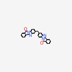 O=C1c2ccccc2-c2nc3cc(Cc4ccc5c(c4)nc4n5C(=O)c5ccccc5-4)ccc3n21